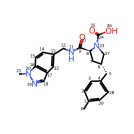 Cc1ccc(C[C@@H]2C[C@@H](C(=O)NCc3ccc4c(cnn4C)c3)N(C(=O)O)C2)cc1